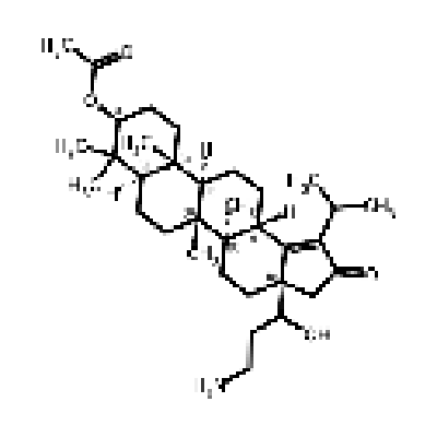 CC(=O)O[C@H]1CC[C@]2(C)[C@H]3CC[C@@H]4C5=C(C(C)C)C(=O)C[C@]5(C(O)CCN)CC[C@@]4(C)[C@]3(C)CC[C@H]2C1(C)C